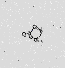 Cn1ncc2c1OCCN1CC[C@@H](Oc3ccccc3/C=C/c3nn(C4CCCCO4)c4ccc-2cc34)C1=O